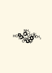 CC1CC(N)CN(c2c(NC(=O)c3ccc(F)c(-c4c(F)cc([S+](C)[O-])cc4F)n3)cnc3c2CCC3O)C1